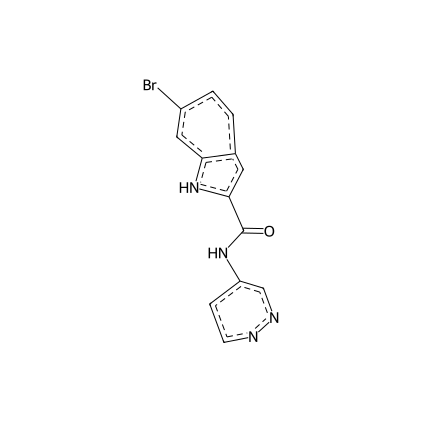 O=C(Nc1ccnnc1)c1cc2ccc(Br)cc2[nH]1